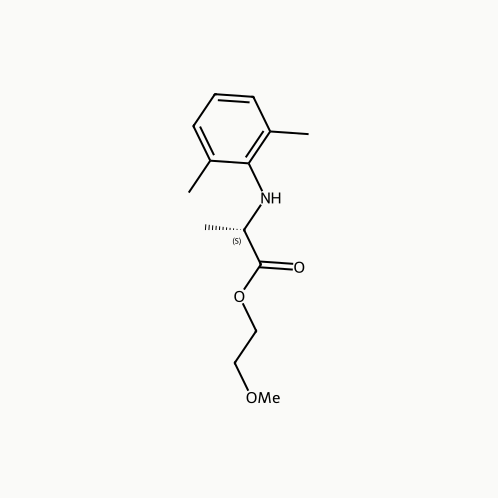 COCCOC(=O)[C@H](C)Nc1c(C)cccc1C